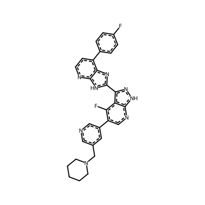 Fc1ccc(-c2ccnc3[nH]c(-c4n[nH]c5ncc(-c6cncc(CN7CCCCC7)c6)c(F)c45)nc23)cc1